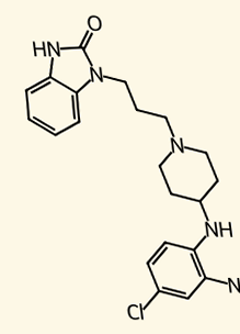 Nc1cc(Cl)ccc1NC1CCN(CCCn2c(=O)[nH]c3ccccc32)CC1